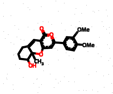 COc1ccc(-c2cc3c(c(=O)o2)C=C2CCCC(O)C2(C)O3)cc1OC